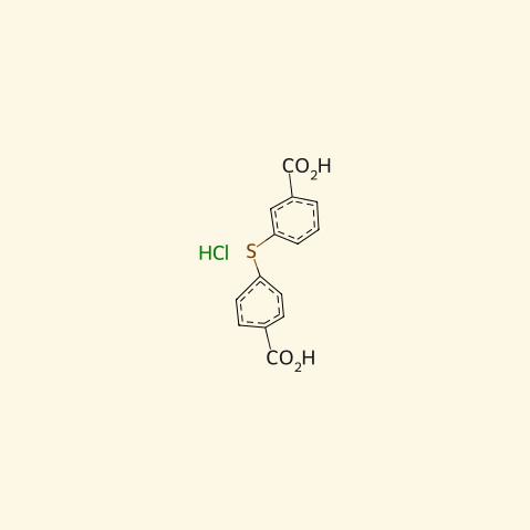 Cl.O=C(O)c1ccc(Sc2cccc(C(=O)O)c2)cc1